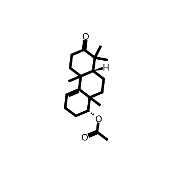 CC(=O)O[C@@H]1CCC=C2C1(C)CC[C@H]1C(C)(C)C(=O)CCC21C